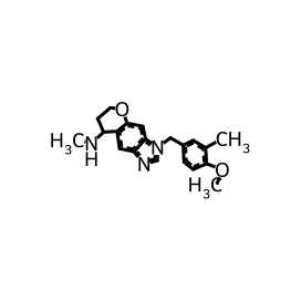 CNC1CCOc2cc3c(cc21)ncn3Cc1ccc(OC)c(C)c1